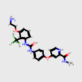 CNC(=O)c1cc(Oc2ccc(NC(=O)Nc3cccc(OCCN)c3C(F)(F)F)cc2)ccn1